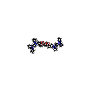 c1ccc(N(c2ccc3c(ccc4c5cc6c(cc5oc34)oc3c4ccc(N(c5ccccc5)c5ccc7c(c5)c5ccccc5n7-c5ccccc5)cc4ccc63)c2)c2ccc3c(c2)c2ccccc2n3-c2ccccc2)cc1